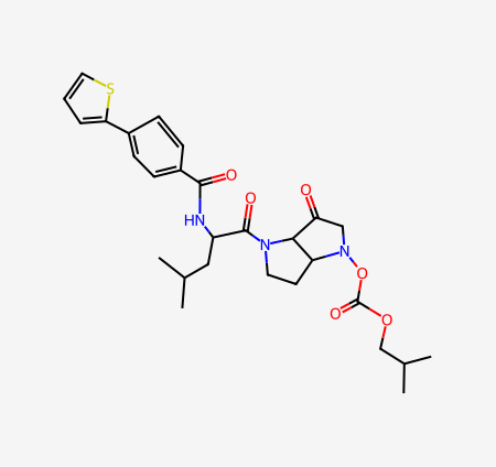 CC(C)COC(=O)ON1CC(=O)C2C1CCN2C(=O)C(CC(C)C)NC(=O)c1ccc(-c2cccs2)cc1